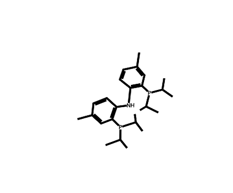 Cc1ccc(Nc2ccc(C)cc2P(C(C)C)C(C)C)c(P(C(C)C)C(C)C)c1